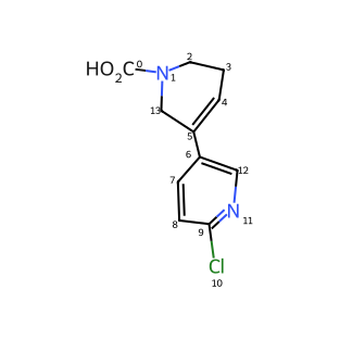 O=C(O)N1CCC=C(c2ccc(Cl)nc2)C1